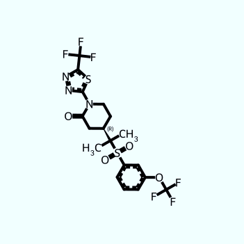 CC(C)([C@@H]1CCN(c2nnc(C(F)(F)F)s2)C(=O)C1)S(=O)(=O)c1cccc(OC(F)(F)F)c1